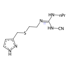 CCCN/C(=N/CCSCc1cc[nH]n1)NC#N